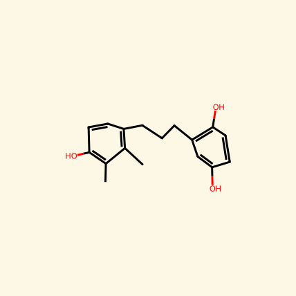 Cc1c(O)ccc(CCCc2cc(O)ccc2O)c1C